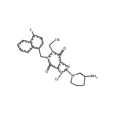 CCn1c(N2CCCC(N)C2)nc2c(=O)n(CC#N)n(Cc3ccc(F)c4ccccc34)c(=O)c21